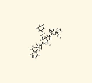 C[C@H](CN(CCc1ccccc1)C(=O)CNC(=O)OC(C)(C)C)NCc1ccc2cnccc2c1